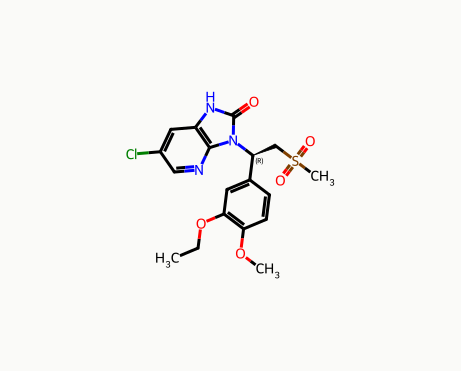 CCOc1cc([C@H](CS(C)(=O)=O)n2c(=O)[nH]c3cc(Cl)cnc32)ccc1OC